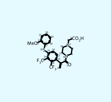 C=C(C(=O)N1CCN(CC(=O)O)CC1)c1ccc(Sc2ccccc2OC)c(C(F)(F)F)c1C(F)(F)F